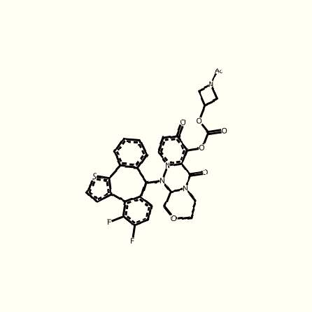 CC(=O)N1CC(OC(=O)Oc2c3n(ccc2=O)N(C2c4ccccc4-c4sccc4-c4c2ccc(F)c4F)C2COCCN2C3=O)C1